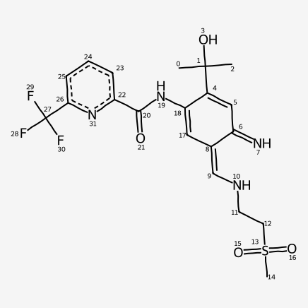 CC(C)(O)C1=CC(=N)/C(=C\NCCS(C)(=O)=O)C=C1NC(=O)c1cccc(C(F)(F)F)n1